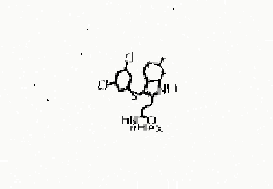 CCCCCCNC(=O)CCC1NC2CC(C)CCC2C1SC1CC(Cl)CC(Cl)C1